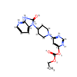 CCOC(=O)Oc1cc(N2CCC(n3c(=O)[nH]c4ncccc43)CC2)ncn1